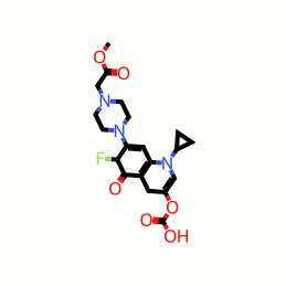 COC(=O)CN1CCN(C2=CC3=C(CC(OC(=O)O)=CN3C3CC3)C(=O)C2F)CC1